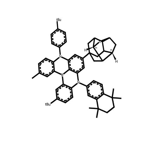 Cc1ccc2c(c1)B1c3cc(C(C)(C)C)ccc3N(c3ccc4c(c3)C(C)(C)CCC4(C)C)c3cc(C45CC6C7C8C[C@@H]6C(C4)[C@@H](C8)C7C5)cc(c31)N2c1ccc(C(C)(C)C)cc1